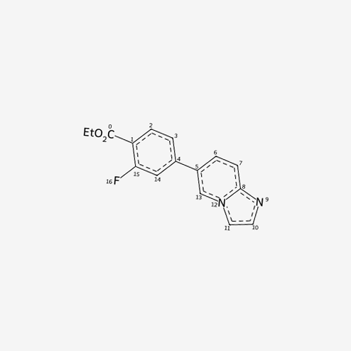 CCOC(=O)c1ccc(-c2ccc3nccn3c2)cc1F